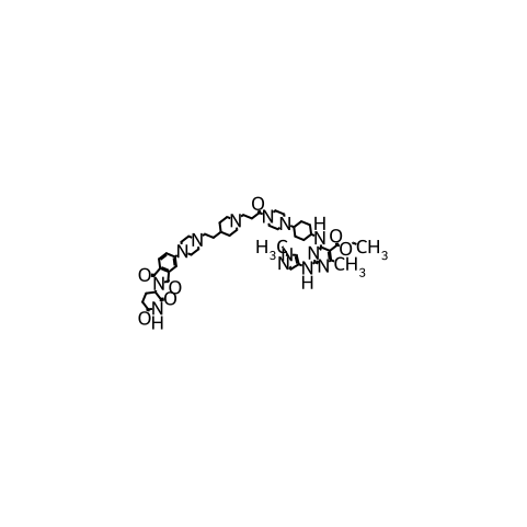 CCOC(=O)c1c(C)nc(Nc2cnn(C)c2)nc1NC1CCC(N2CCN(C(=O)CCN3CCC(CCN4CCN(c5ccc6c(c5)C(=O)N(C5CCC(=O)NC5=O)C6=O)CC4)CC3)CC2)CC1